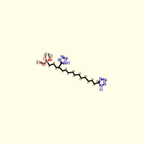 CCO[Si](CCCC(CCCCCCCCCCCc1nnn[nH]1)c1nnn[nH]1)(OCC)OCC